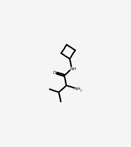 CC(C)C(N)C(=O)NC1CCC1